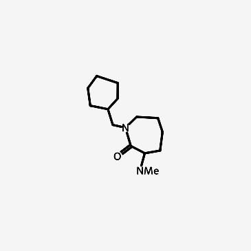 CNC1CCCCN(CC2CCCCC2)C1=O